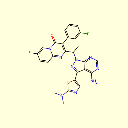 CC(c1nc2ccc(F)cn2c(=O)c1-c1cccc(F)c1)n1nc(-c2cnc(N(C)C)s2)c2c(N)ncnc21